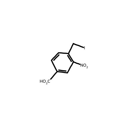 O=C(O)c1ccc(CI)c([N+](=O)[O-])c1